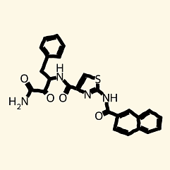 NC(=O)C(=O)C(Cc1ccccc1)NC(=O)c1csc(NC(=O)c2ccc3ccccc3c2)n1